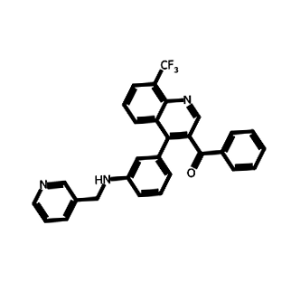 O=C(c1ccccc1)c1cnc2c(C(F)(F)F)cccc2c1-c1cccc(NCc2cccnc2)c1